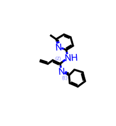 C=C/C=C(\N=C1\C=CC=CC1)Nc1cccc(C)n1